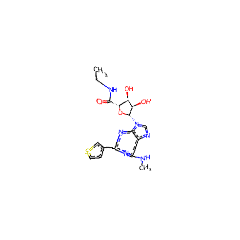 CCNC(=O)[C@H]1O[C@@H](n2cnc3c(NC)nc(-c4ccsc4)nc32)[C@H](O)[C@@H]1O